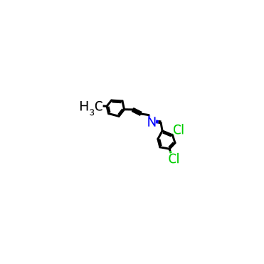 Cc1ccc(C#CC/N=C/c2ccc(Cl)cc2Cl)cc1